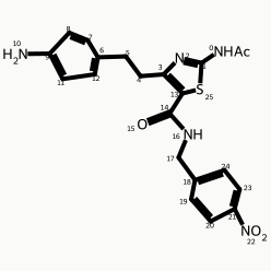 CC(=O)Nc1nc(CCc2ccc(N)cc2)c(C(=O)NCc2ccc([N+](=O)[O-])cc2)s1